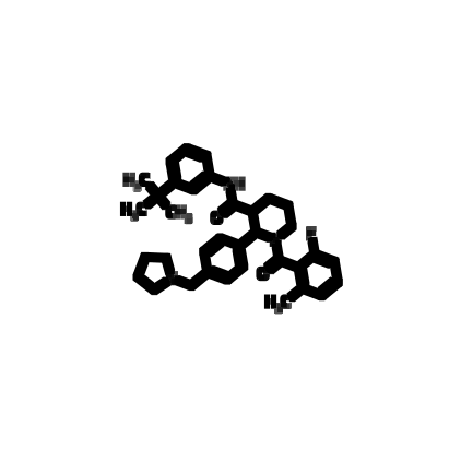 Cc1cccc(F)c1C(=O)N1CCCC(C(=O)Nc2cccc(C(C)(C)C)c2)C1c1ccc(CN2CCCC2)cc1